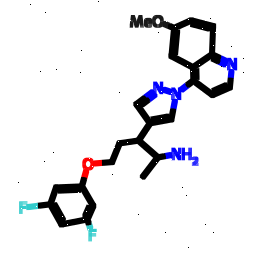 COc1ccc2nccc(-n3cc(C(CCOc4cc(F)cc(F)c4)C(C)N)cn3)c2c1